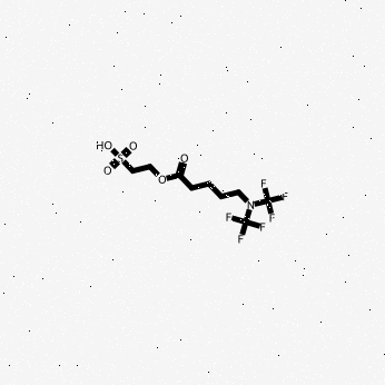 O=C(CCCCN(C(F)(F)F)C(F)(F)F)OCCS(=O)(=O)O